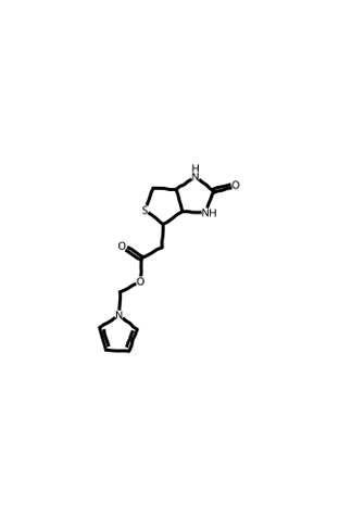 O=C1NC2CSC(CC(=O)OCn3cccc3)C2N1